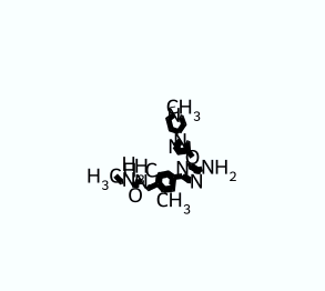 CCNC(=O)NCc1c(C)cc(-c2cnc(N)c(Oc3cnn(C4CCN(C)CC4)c3)n2)cc1C